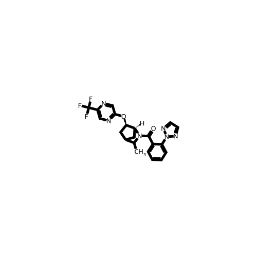 CC1C2C[C@@H](Oc3cnc(C(F)(F)F)cn3)[C@H](C2)N1C(=O)c1ccccc1-n1nccn1